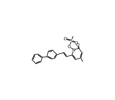 Cc1cc(C=Cc2ccc(-c3ccccc3)cc2)n(OS(C)(=O)=O)c(=O)c1